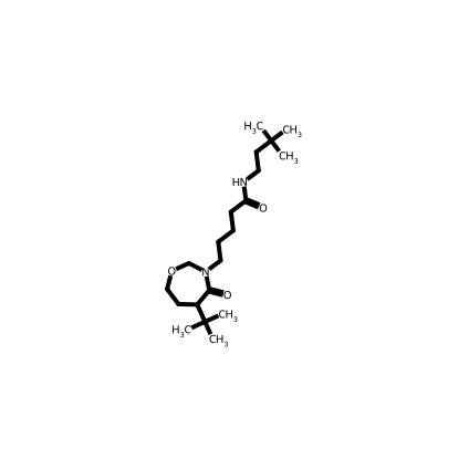 CC(C)(C)CCNC(=O)CCCCN1COCCC(C(C)(C)C)C1=O